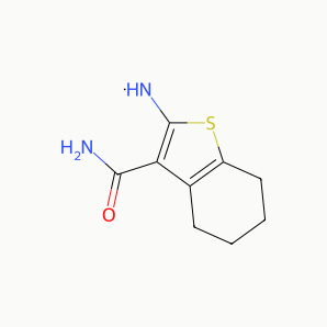 [NH]c1sc2c(c1C(N)=O)CCCC2